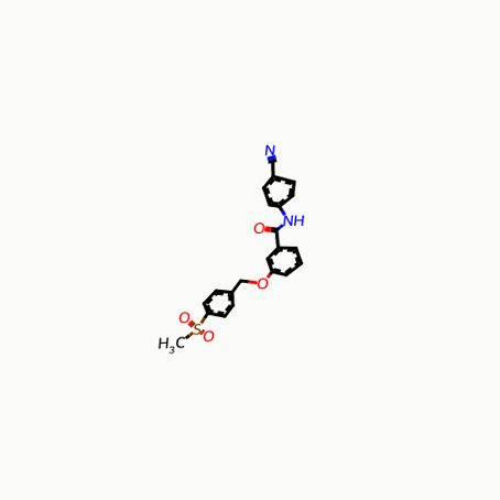 CS(=O)(=O)c1ccc(COc2cccc(C(=O)Nc3ccc(C#N)cc3)c2)cc1